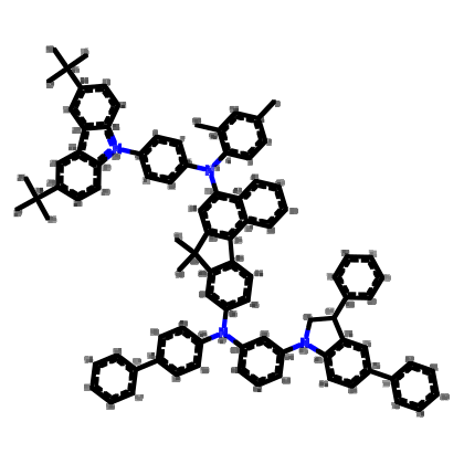 Cc1ccc(N(c2ccc(-n3c4ccc(C(C)(C)C)cc4c4cc(C(C)(C)C)ccc43)cc2)c2cc3c(c4ccccc24)-c2ccc(N(c4ccc(-c5ccccc5)cc4)c4cccc(N5CC(c6ccccc6)c6cc(-c7ccccc7)ccc65)c4)cc2C3(C)C)c(C)c1